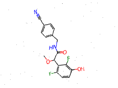 COC(C(=O)NCc1ccc(C#N)cc1)c1c(F)ccc(O)c1F